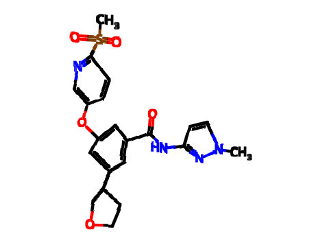 Cn1ccc(NC(=O)c2cc(Oc3ccc(S(C)(=O)=O)nc3)cc(C3CCOC3)c2)n1